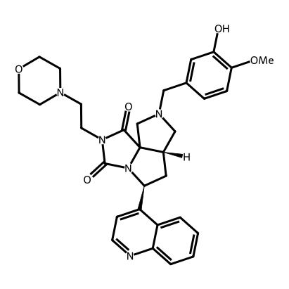 COc1ccc(CN2C[C@@H]3C[C@@H](c4ccnc5ccccc45)N4C(=O)N(CCN5CCOCC5)C(=O)C34C2)cc1O